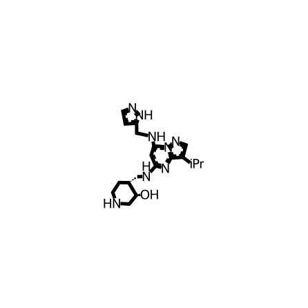 CC(C)c1cnn2c(NCc3ccn[nH]3)cc(NC[C@H]3CCNC[C@@H]3O)nc12